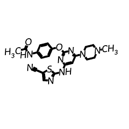 CC(=O)Nc1ccc(Oc2nc(Nc3ncc(C#N)s3)cc(N3CCN(C)CC3)n2)cc1